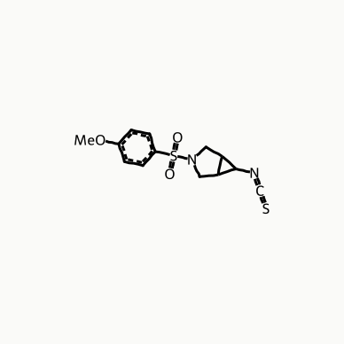 COc1ccc(S(=O)(=O)N2CC3C(C2)C3N=C=S)cc1